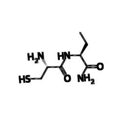 CC[C@H](NC(=O)[C@@H](N)CS)C(N)=O